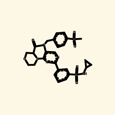 CS(=O)(=O)c1ccc(CN2C(=O)C3COCCN3c3nc(-c4cccc(S(=O)(=O)NC5CC5)c4)ncc32)cc1